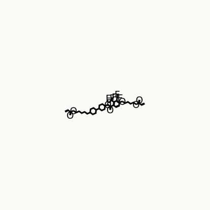 C=CC(=O)OCCCCCC1CCC(C2CCC(OC(=O)c3ccc(OCCCCOC(=O)C=C)c(C(F)(F)F)c3C(F)(F)F)CC2)CC1